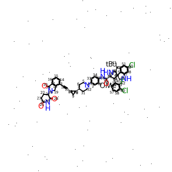 COc1cc(N2CCC([C@H]3C[C@@H]3C#Cc3cccc4c3CN(C3CCC(=O)NC3=O)C4=O)CC2)ccc1NC(=O)[C@@H]1N[C@@H](CC(C)(C)C)[C@@]2(CNc3cc(Cl)ccc32)[C@H]1c1cccc(Cl)c1F